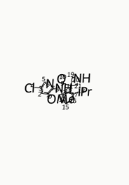 COc1cc(Cl)cnc1NC(=O)C1(c2ccccc2C(C)C)CNC1